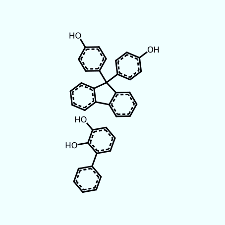 Oc1ccc(C2(c3ccc(O)cc3)c3ccccc3-c3ccccc32)cc1.Oc1cccc(-c2ccccc2)c1O